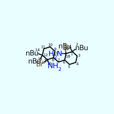 CCCCC1(CCCC)CCCC(CC2CCCC(CCCC)(CCCC)C2(N)Br)C1(N)Br